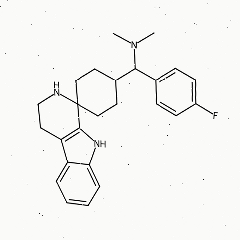 CN(C)C(c1ccc(F)cc1)C1CCC2(CC1)NCCc1c2[nH]c2ccccc12